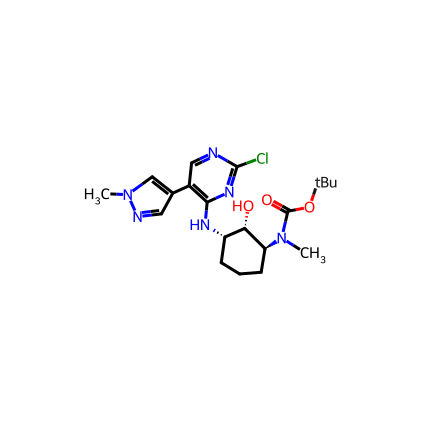 CN(C(=O)OC(C)(C)C)[C@H]1CCC[C@H](Nc2nc(Cl)ncc2-c2cnn(C)c2)[C@@H]1O